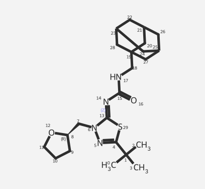 CC(C)(C)c1nn(C[C@H]2CCCO2)/c(=N/C(=O)NCC23CC4CC(CC(C4)C2)C3)s1